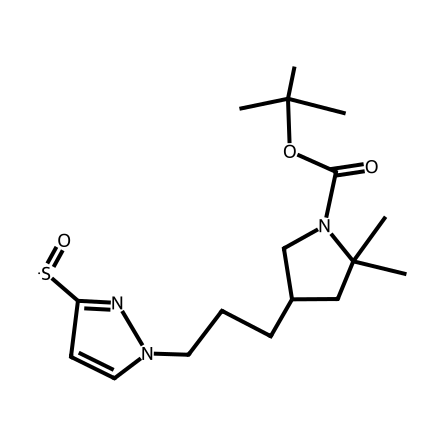 CC(C)(C)OC(=O)N1CC(CCCn2ccc([S]=O)n2)CC1(C)C